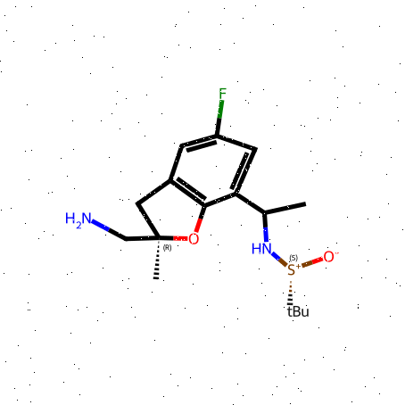 CC(N[S@+]([O-])C(C)(C)C)c1cc(F)cc2c1O[C@@](C)(CN)C2